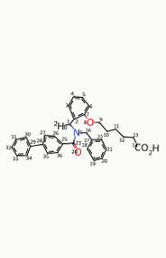 [2H]C(c1ccccc1OCCCCCC(=O)O)N(Cc1ccccc1)C(=O)c1ccc(-c2ccccc2)cc1